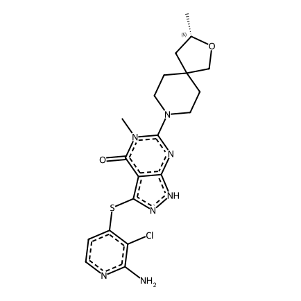 C[C@H]1CC2(CCN(c3nc4[nH]nc(Sc5ccnc(N)c5Cl)c4c(=O)n3C)CC2)CO1